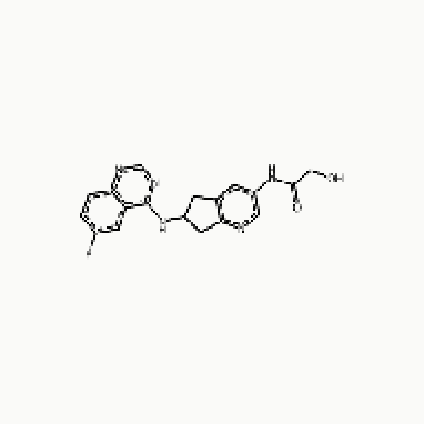 O=C(CO)Nc1cnc2c(c1)CC(Nc1ncnc3ccc(F)cc13)C2